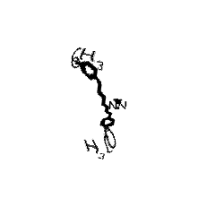 COc1ccc(CCCCC(CCc2ccc(OC)cc2)n2ccnc2)cc1